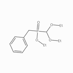 CCOC(OCC)P(=O)(Cc1ccccc1)OCC